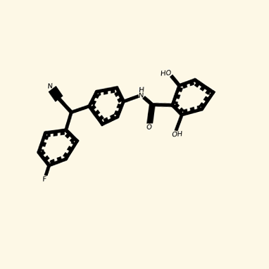 N#CC(c1ccc(F)cc1)c1ccc(NC(=O)c2c(O)cccc2O)cc1